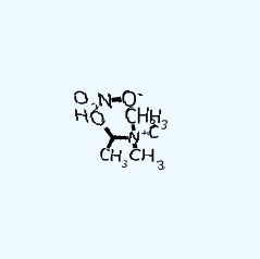 CC(O)[N+](C)(C)C.O=[N+]([O-])[O-]